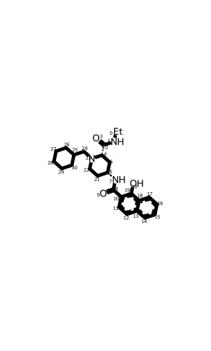 CCNC(=O)[C@@H]1C[C@H](NC(=O)c2ccc3ccccc3c2O)CCN1CC1CCCCC1